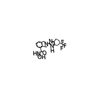 O=C(NO)c1cccc2c1CN(c1nc3c([nH]1)C[C@H](C(F)(F)F)CC3)C2